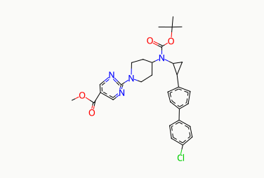 COC(=O)c1cnc(N2CCC(N(C(=O)OC(C)(C)C)C3CC3c3ccc(-c4ccc(Cl)cc4)cc3)CC2)nc1